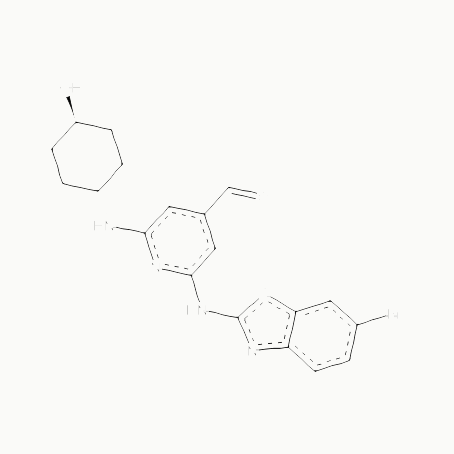 O=Cc1cc(Nc2nc3ccc(Br)cc3s2)nc(N[C@H]2CC[C@H](O)CC2)c1